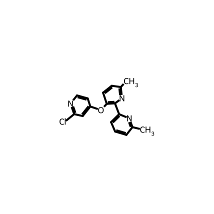 Cc1cccc(-c2nc(C)ccc2Oc2ccnc(Cl)c2)n1